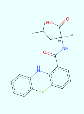 CC(C)C[C@](C)(NC(=O)c1cccc2c1Nc1ccccc1S2)C(=O)O